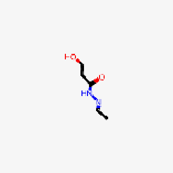 CC=NNC(=O)CCO